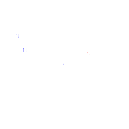 NNc1ccc(Oc2ccccc2)nc1